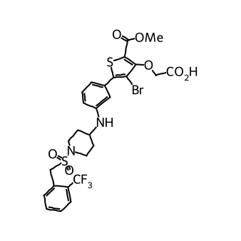 COC(=O)c1sc(-c2cccc(NC3CCN(S(=O)(=O)Cc4ccccc4C(F)(F)F)CC3)c2)c(Br)c1OCC(=O)O